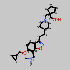 CN(C)Cc1c(OCC2CC2)ccc2c(CCC3CCN(CC4(CO)CCCC4)CC3)noc12